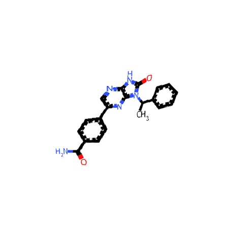 CC(c1ccccc1)n1c(=O)[nH]c2ncc(-c3ccc(C(N)=O)cc3)nc21